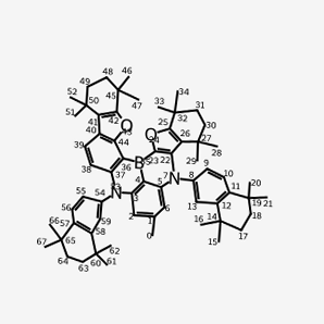 Cc1cc2c3c(c1)N(c1ccc4c(c1)C(C)(C)CCC4(C)C)c1c(oc4c1C(C)(C)CCC4(C)C)B3c1c(ccc3c4c(oc13)C(C)(C)CCC4(C)C)N2c1ccc2c(c1)C(C)(C)CCC2(C)C